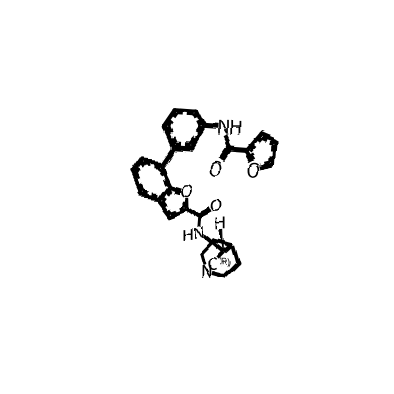 O=C(Nc1cccc(-c2cccc3cc(C(=O)N[C@H]4CN5CCC4CC5)oc23)c1)c1ccco1